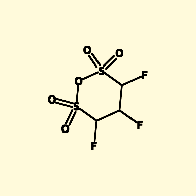 O=S1(=O)OS(=O)(=O)C(F)C(F)C1F